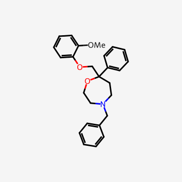 COc1ccccc1OCC1(c2ccccc2)CCN(Cc2ccccc2)CCO1